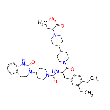 CCc1ccc(C[C@@H](NC(=O)N2CCC(N3CCc4ccccc4NC3=O)CC2)C(=O)N2CCC(C3CCN(C(CC)C(=O)O)CC3)CC2)cc1CC